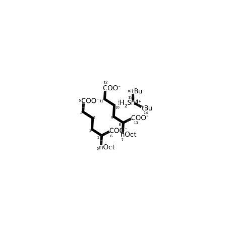 CCCCCCCCC(CCCC(=O)[O-])C(=O)[O-].CCCCCCCCC(CCCC(=O)[O-])C(=O)[O-].C[C](C)(C)[SnH2+4][C](C)(C)C